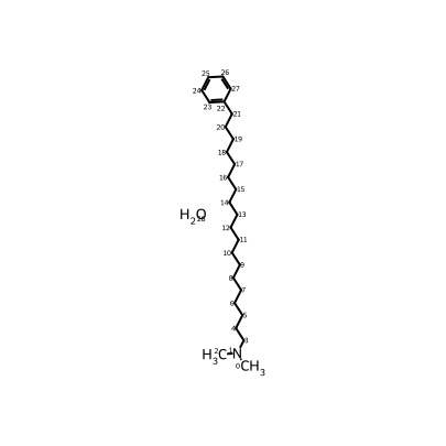 CN(C)CCCCCCCCCCCCCCCCCCCc1ccccc1.O